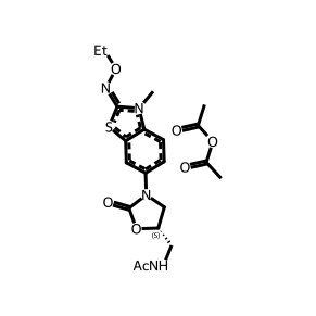 CC(=O)OC(C)=O.CCON=c1sc2cc(N3C[C@H](CNC(C)=O)OC3=O)ccc2n1C